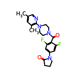 Cc1cnc(N2CCN(C(=O)c3c(F)cc(N4CCCC4=O)cc3F)CC2)c(C)c1